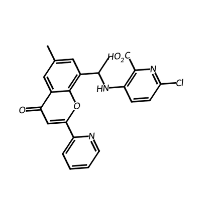 Cc1cc(C(C)Nc2ccc(Cl)nc2C(=O)O)c2oc(-c3ccccn3)cc(=O)c2c1